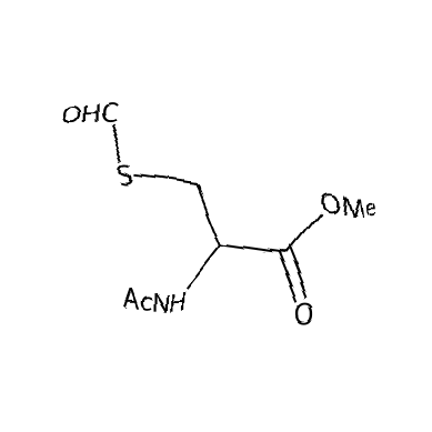 COC(=O)C(CSC=O)NC(C)=O